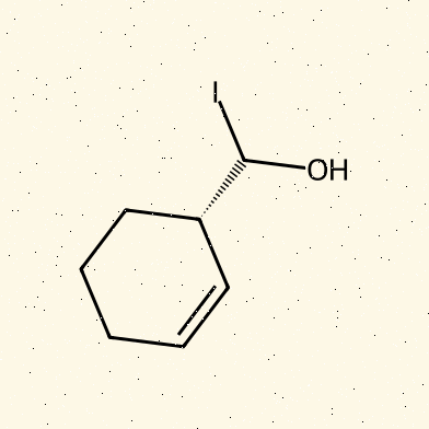 OC(I)[C@@H]1C=CCCC1